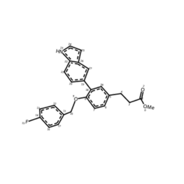 COC(=O)CCc1ccc(OCc2ccc(F)cc2)c(-c2ccc3[nH]ccc3c2)c1